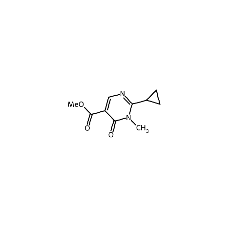 COC(=O)c1cnc(C2CC2)n(C)c1=O